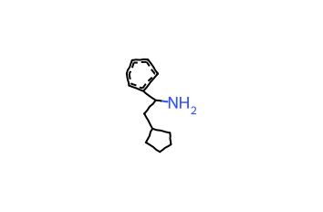 NC(CC1CCCC1)c1ccccc1